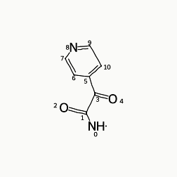 [NH]C(=O)C(=O)c1ccncc1